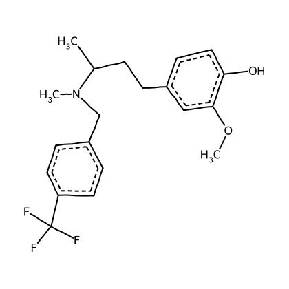 COc1cc(CCC(C)N(C)Cc2ccc(C(F)(F)F)cc2)ccc1O